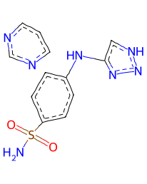 NS(=O)(=O)c1ccc(Nc2c[nH]nn2)cc1.c1cncnc1